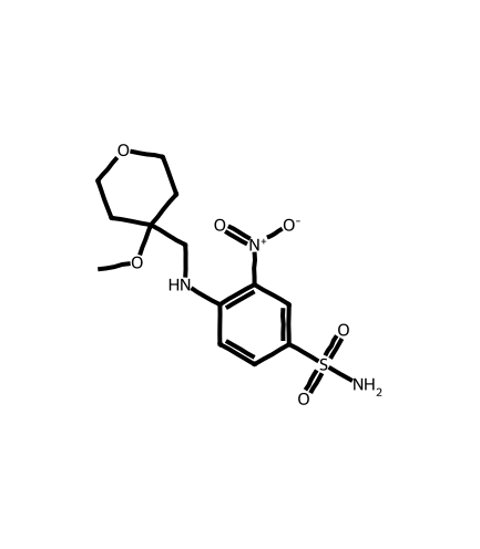 COC1(CNc2ccc(S(N)(=O)=O)cc2[N+](=O)[O-])CCOCC1